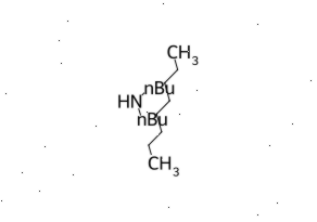 CCCCCCCC.CCCCNCCCC